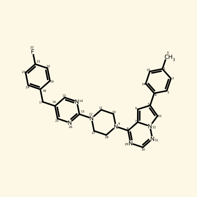 Cc1ccc(-c2cc3c(N4CCN(c5ncc(Cc6ccc(F)cc6)cn5)CC4)ncnn3c2)cc1